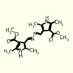 COC(=O)c1c(C)[nH]c(C)c1/C=N/N=C/c1c(C)[nH]c(C)c1C(=O)OC